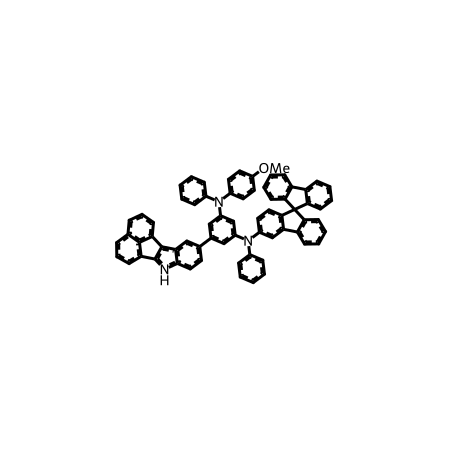 COc1ccc(N(c2ccccc2)c2cc(-c3ccc4[nH]c5c(c4c3)-c3cccc4cccc-5c34)cc(N(c3ccccc3)c3ccc4c(c3)-c3ccccc3C43c4ccccc4-c4ccccc43)c2)cc1